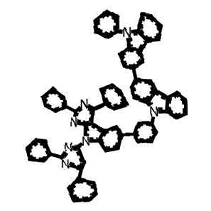 c1ccc(-c2cc(-n3c4ccc(-c5cccc(-n6c7ccccc7c7cc(-c8ccc9c(c8)c8ccccc8n9-c8ccccc8)ccc76)c5)cc4c4c(-c5ccccc5)nc(-c5ccccc5)nc43)nc(-c3ccccc3)n2)cc1